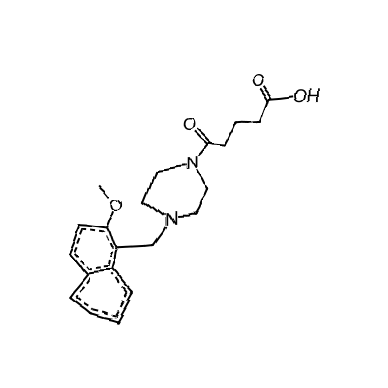 COc1ccc2ccccc2c1CN1CCN(C(=O)CCCC(=O)O)CC1